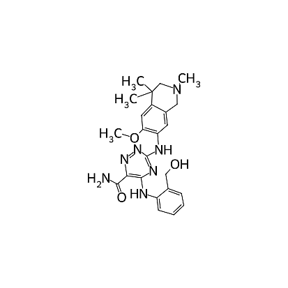 COc1cc2c(cc1Nc1nnc(C(N)=O)c(Nc3ccccc3CO)n1)CN(C)CC2(C)C